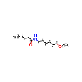 CC(C)(C)CCCC(=O)NCCCCCCOC(C)(C)C